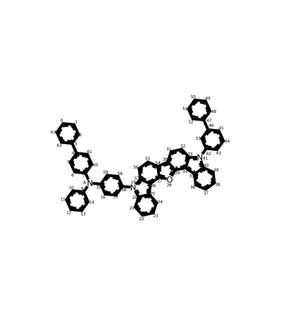 c1ccc(-c2ccc(N(c3ccccc3)c3ccc(-n4c5ccccc5c5c6oc7c(ccc8c7c7ccccc7n8-c7cccc(-c8ccccc8)c7)c6ccc54)cc3)cc2)cc1